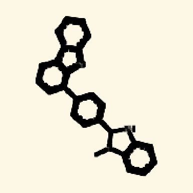 CN1c2ccccc2NC1c1ccc(-c2cccc3c2oc2ccccc23)cc1